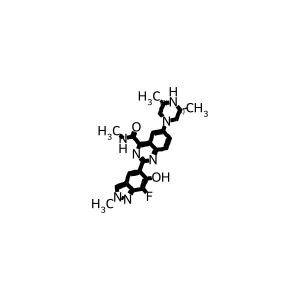 CNC(=O)c1nc(-c2cc3cn(C)nc3c(F)c2O)nc2ccc(N3C[C@@H](C)N[C@H](C)C3)cc12